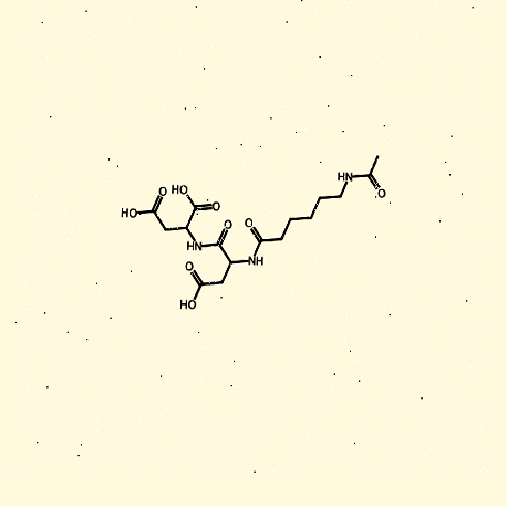 CC(=O)NCCCCCC(=O)NC(CC(=O)O)C(=O)NC(CC(=O)O)C(=O)O